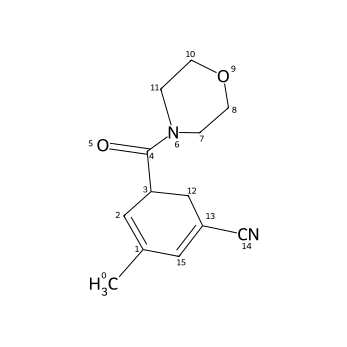 CC1=CC(C(=O)N2CCOCC2)CC(C#N)=C1